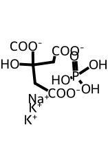 O=C([O-])CC(O)(CC(=O)[O-])C(=O)[O-].O=P(O)(O)O.[K+].[K+].[Na+]